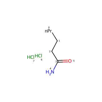 CCCCCC(N)=O.Cl.Cl